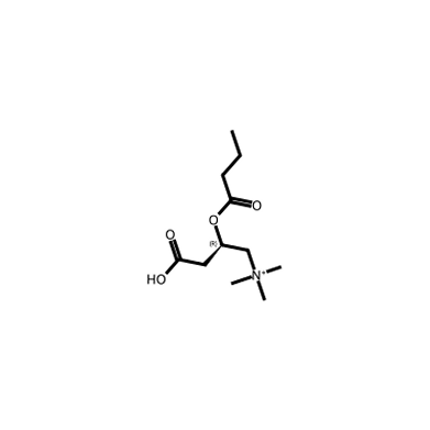 CCCC(=O)O[C@H](CC(=O)O)C[N+](C)(C)C